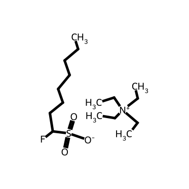 CCCCCCCC(F)S(=O)(=O)[O-].CC[N+](CC)(CC)CC